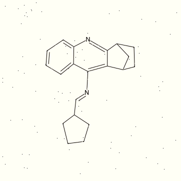 C(=Nc1c2c(nc3ccccc13)C1CCC2C1)C1CCCC1